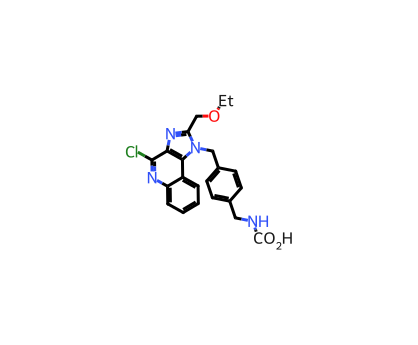 CCOCc1nc2c(Cl)nc3ccccc3c2n1Cc1ccc(CNC(=O)O)cc1